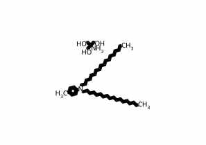 CCCCCCCCCCCCCCCCCCN(CCCCCCCCCCCCCCCCCC)c1ccc(C)cc1.NC(CO)(CO)CO